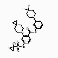 CC1(S(=O)(=O)Nc2ccc(C(=O)Nc3cccc(N4CCC(F)(F)CC4)n3)c(N3CCC4(CC3)CC4)c2)CC1